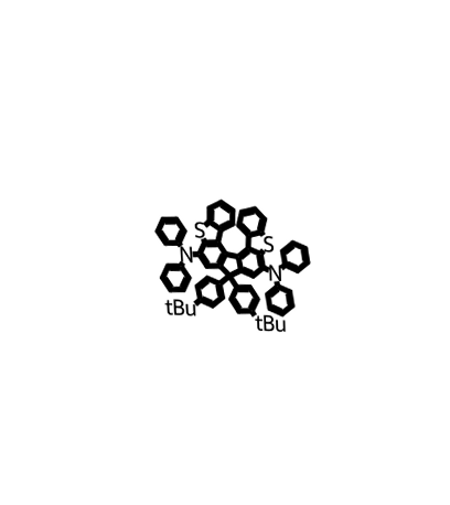 CC(C)(C)c1ccc(C2(c3ccc(C(C)(C)C)cc3)c3cc(N(c4ccccc4)c4ccccc4)c4sc5ccccc5c4c3-c3c2cc(N(c2ccccc2)c2ccccc2)c2sc4ccccc4c32)cc1